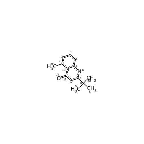 Cc1cccc2nc(C(C)(C)C)cc(=O)n12